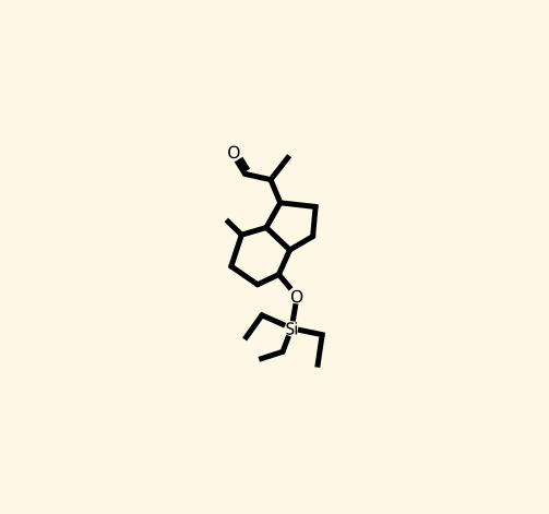 CC[Si](CC)(CC)OC1CCC(C)C2C(C(C)C=O)CCC12